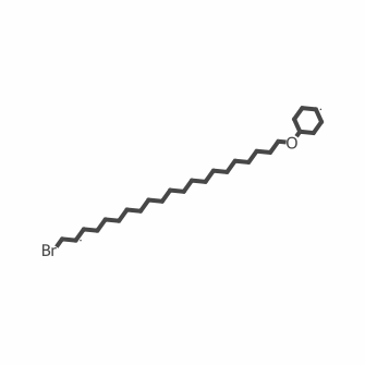 BrC[CH]CCCCCCCCCCCCCCCCCCCOC1CC[CH]CC1